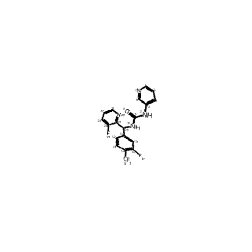 O=C(Nc1cccnc1)NC(c1ccc(C(F)(F)F)c(F)c1)c1ncccc1F